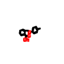 Cc1ccc(OCc2ccccc2C(=O)O)cc1